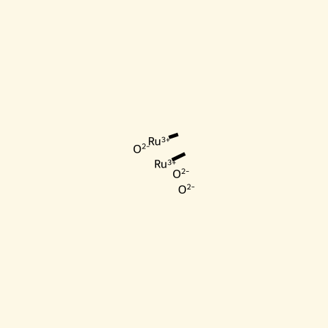 [CH3][Ru+3].[CH3][Ru+3].[O-2].[O-2].[O-2]